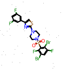 O=S(=O)(c1c(F)c(Br)cc(F)c1Br)N1CCN(c2nc(-c3cc(F)cc(F)c3)cs2)CC1